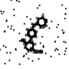 O=CC1CCC(=O)N(c2ccc(CN3CCOCC3)cc2)C1